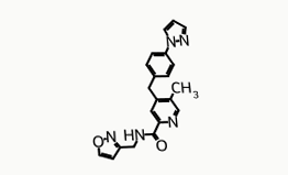 Cc1cnc(C(=O)NCc2ccon2)cc1Cc1ccc(-n2cccn2)cc1